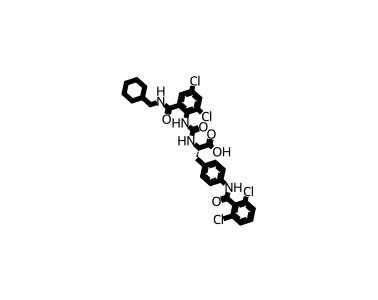 O=C(Nc1c(Cl)cc(Cl)cc1C(=O)NCC1CCCCC1)N[C@@H](Cc1ccc(NC(=O)c2c(Cl)cccc2Cl)cc1)C(=O)O